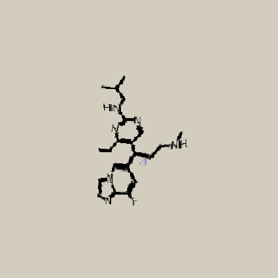 CCc1nc(NCC(C)C)ncc1/C(=C\CNC)c1cc(F)c2nccn2c1